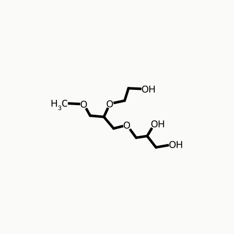 COCC(COCC(O)CO)OCCO